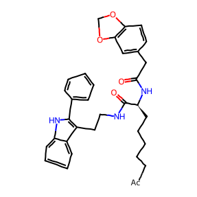 CC(=O)CCCCC[C@H](NC(=O)Cc1ccc2c(c1)OCO2)C(=O)NCCc1c(-c2ccccc2)[nH]c2ccccc12